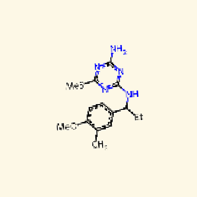 CCC(Nc1nc(N)nc(SC)n1)c1ccc(OC)c(C)c1